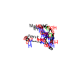 CCCCCOc1ccc(S(=O)(=O)NCCCCCCNCc2c(O)cc3c(c2O)-c2cc(ccc2O)[C@H]2NC(=O)[C@@H]4NC(=O)[C@H](CC(N)=O)NC(=O)[C@H](NC(=O)[C@@H](CC(C)C)NC)[C@H](O)c5ccc(c(Cl)c5)Oc5cc4cc(c5O)Oc4ccc(cc4Cl)[C@@H](O)[C@H](NC2=O)C(=O)N[C@@H]3C(=O)NC2C3CC4CC(C3)CC2C4)cc1